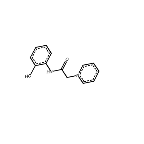 O=C(C[n+]1ccccc1)Nc1ccccc1O